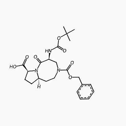 CC(C)(C)OC(=O)N[C@H]1CN(C(=O)OCc2ccccc2)CC[C@H]2CC[C@@H](C(=O)O)N2C1=O